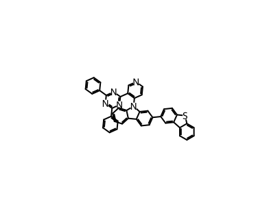 c1ccc(-c2nc(-c3ccccc3)nc(-c3cnccc3-n3c4ccccc4c4ccc(-c5ccc6sc7ccccc7c6c5)cc43)n2)cc1